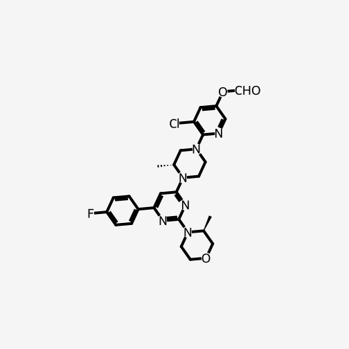 C[C@@H]1CN(c2ncc(OC=O)cc2Cl)CCN1c1cc(-c2ccc(F)cc2)nc(N2CCOC[C@@H]2C)n1